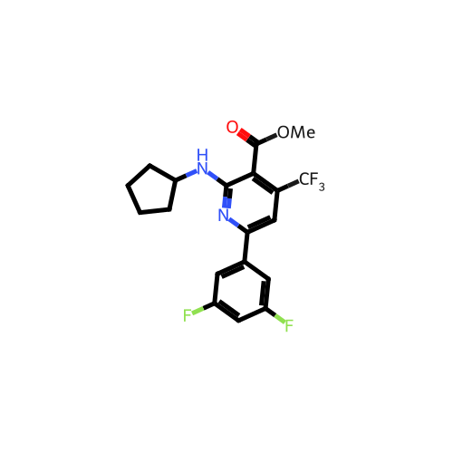 COC(=O)c1c(C(F)(F)F)cc(-c2cc(F)cc(F)c2)nc1NC1CCCC1